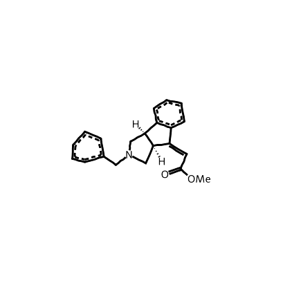 COC(=O)C=C1c2ccccc2[C@@H]2CN(Cc3ccccc3)C[C@H]12